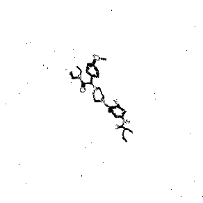 CCC(CC)C(=O)Nc1ccc(N2CCN(C(C(=O)N(CC)CC)c3ccc(OC)cc3)CC2)c(F)c1